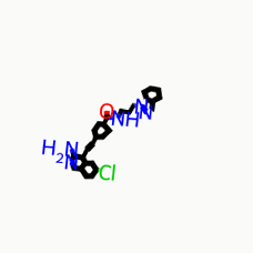 Nc1ncc2ccc(Cl)cc2c1C#Cc1ccc(C(=O)NCCCn2ncc3ccccc32)cc1